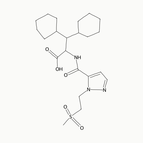 CS(=O)(=O)CCn1nccc1C(=O)NC(C(=O)O)C(C1CCCCC1)C1CCCCC1